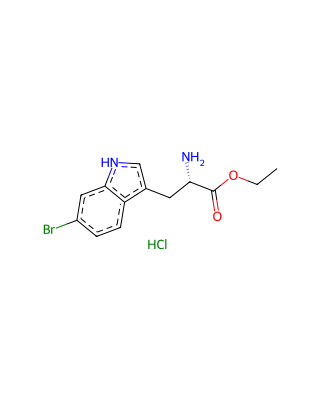 CCOC(=O)[C@@H](N)Cc1c[nH]c2cc(Br)ccc12.Cl